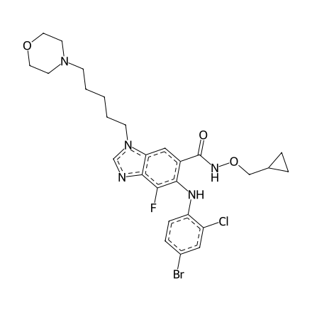 O=C(NOCC1CC1)c1cc2c(ncn2CCCCCN2CCOCC2)c(F)c1Nc1ccc(Br)cc1Cl